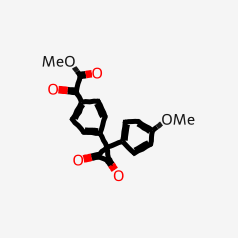 COC(=O)C(=O)c1ccc(C2(c3ccc(OC)cc3)C(=O)C2=O)cc1